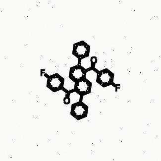 O=C(c1ccc(F)cc1)c1c(-c2ccccc2)ccc2c(C(=O)c3ccc(F)cc3)c(-c3ccccc3)ccc12